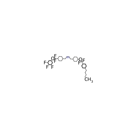 CCCCCc1ccc(C(F)(F)OC2CCC(C/C=C\CC3CCC(C(F)(F)Oc4cc(F)c(F)c(F)c4)CC3)CC2)cc1